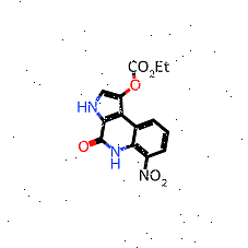 CCOC(=O)Oc1c[nH]c2c(=O)[nH]c3c([N+](=O)[O-])cccc3c12